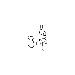 C=C(CN1CCCNCC1)CN(CCC(c1ccccc1)c1ccccc1)C(=O)NCCC